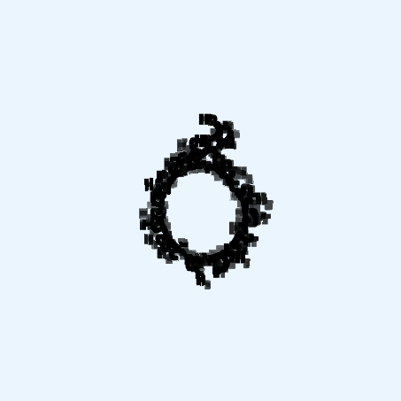 CC[C@@H]1NC(=O)[C@H]([C@H](O)[C@H](C)Cc2nc3ncnc(O)c3[nH]2)N(C)C(=O)[C@H](C(C)C)N(C)C(=O)[C@H](CC(C)C)N(C)C(=O)[C@H](CC(C)C)N(C)C(=O)[C@@H](C)NC(=O)[C@H](C)NC(=O)[C@H](CC(C)C)N(C)C(=O)[C@H](C(C)C)NC(=O)[C@H](CC(C)C)N(C)C(=O)CN(C)C1=O